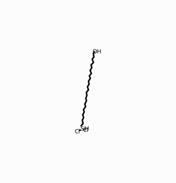 OCCCCCCCCCCCCCCCCCCCCCCCCCCC[SiH](Cl)Cl